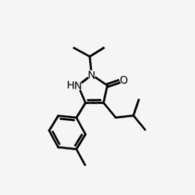 Cc1cccc(-c2[nH]n(C(C)C)c(=O)c2CC(C)C)c1